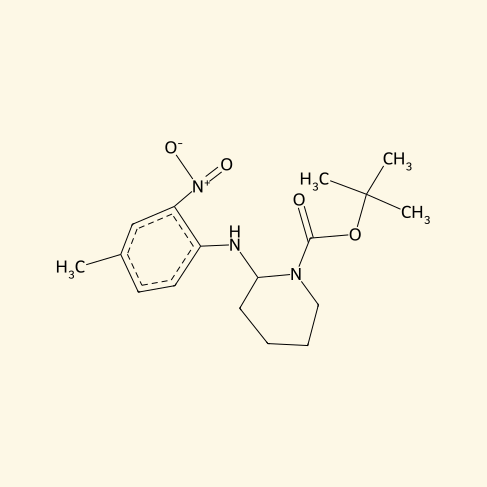 Cc1ccc(NC2CCCCN2C(=O)OC(C)(C)C)c([N+](=O)[O-])c1